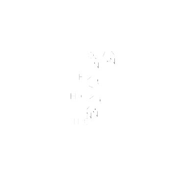 Cc1c(-c2ccc(CN3Cc4ncccc4C3=O)c(F)c2)ccc2nn(C)cc12